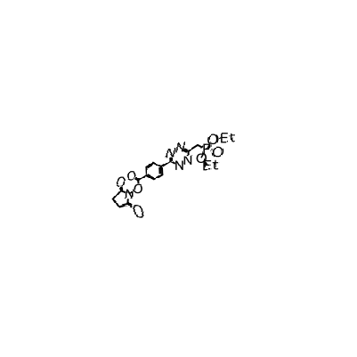 CCOP(=O)(Cc1nnc(-c2ccc(C(=O)ON3C(=O)CCC3=O)cc2)nn1)OCC